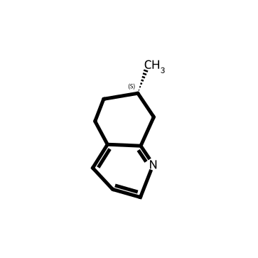 C[C@H]1CCc2cccnc2C1